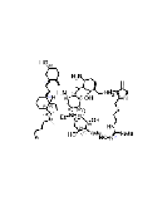 C=C1CC[C@H](O)C/C1=C/C=C1\CCC[C@]2(C)[C@@H]([C@H](C)CCCC(C)C)CC[C@@H]12.CCN[C@@H]1C[C@H](N)[C@@H](OC2OC(CN)=CCC2N)[C@H](O)[C@H]1O[C@H]1OC[C@](C)(O)[C@H](NC)[C@H]1O.CN/C(=N/C#N)NCCSCc1nc[nH]c1C